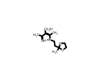 CCOC(=O)/C(C(C)=N)=C(\C)NCCC1(C)OCCO1